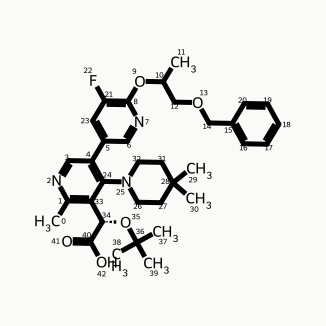 Cc1ncc(-c2cnc(OC(C)COCc3ccccc3)c(F)c2)c(N2CCC(C)(C)CC2)c1[C@H](OC(C)(C)C)C(=O)O